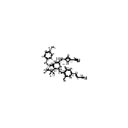 COc1ccc(CN2C(=O)C(C)(C)c3c(Oc4c(C)cc(/C=C/C#N)cc4C)nc(NC45CC(C#N)(C4)C5)nc32)cc1